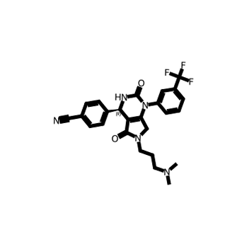 CN(C)CCCN1CC2=C(C1=O)[C@@H](c1ccc(C#N)cc1)NC(=O)N2c1cccc(C(F)(F)F)c1